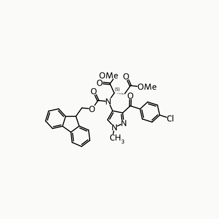 COC(=O)C[C@@H](C(=O)OC)N(C(=O)OCC1c2ccccc2-c2ccccc21)c1cn(C)nc1C(=O)c1ccc(Cl)cc1